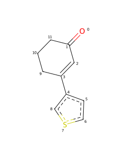 O=C1C=C(c2ccsc2)CCC1